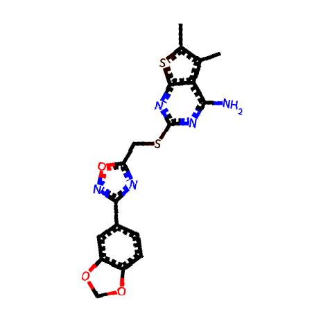 Cc1sc2nc(SCc3nc(-c4ccc5c(c4)OCO5)no3)nc(N)c2c1C